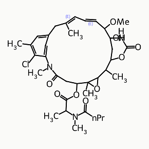 CCCC(=O)N(C)C(C)C(=O)OC1CC(=O)N(C)c2cc(cc(C)c2Cl)C/C(C)=C/C=C/C(OC)C2(O)CC(OC(=O)N2)C(C)C2OC12C